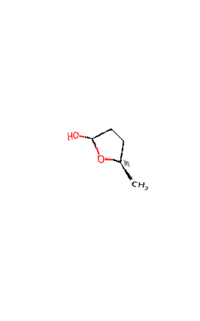 C[C@@H]1CCC(O)O1